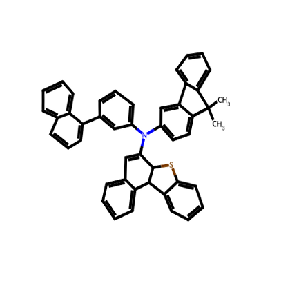 CC1(C)c2ccccc2-c2cc(N(C3=Cc4ccccc4C4c5ccccc5SC34)c3cccc(-c4cccc5ccccc45)c3)ccc21